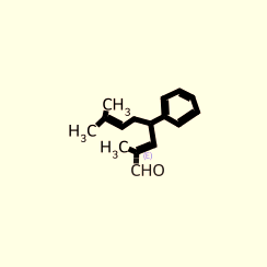 CC(C)=CCC(/C=C(\C)C=O)c1ccccc1